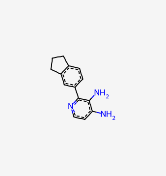 Nc1ccnc(-c2ccc3c(c2)CCC3)c1N